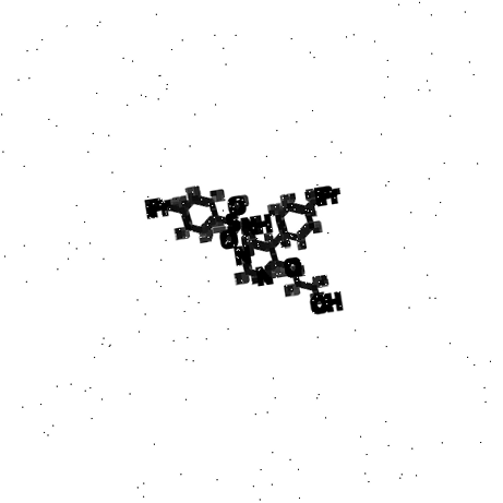 CC(C)c1ccc(-c2c(NS(=O)(=O)c3ccc(C(C)C)cc3)ncnc2OCCO)cc1